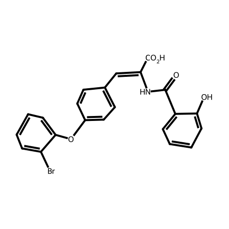 O=C(O)C(=Cc1ccc(Oc2ccccc2Br)cc1)NC(=O)c1ccccc1O